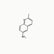 Bc1ccc2nc(C)ccc2c1